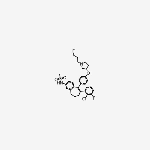 CS(=O)(=O)Nc1ccc2c(c1)CCCC(c1cccc(F)c1Cl)=C2c1ccc(O[C@H]2CCN(CCCF)C2)cc1